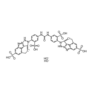 O=C(Nc1ccc(N2Nn3nc4cc(S(=O)(=O)O)cc5c4c3C2=[C+]C5)c(S(=O)(=O)O)c1)Nc1ccc(N2Nn3nc4cc(S(=O)(=O)O)cc5c4c3C2=[C+]C5)c(S(=O)(=O)O)c1.[OH-].[OH-]